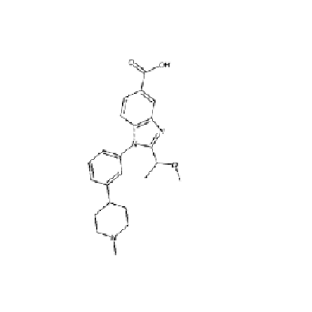 COC(C)c1nc2cc(C(=O)O)ccc2n1-c1cccc(C2CCN(C)CC2)c1